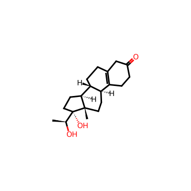 C[C@H](O)[C@@]1(O)CC[C@H]2[C@@H]3CCC4=C(CCC(=O)C4)[C@H]3CC[C@@]21C